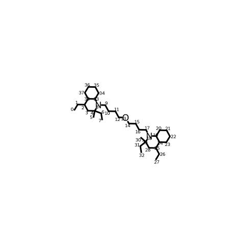 CCC1CC(C)(CC)N(CCCCOCCCCN2C3CCCCC3C(CC)CC2(C)CC)C2CCCCC12